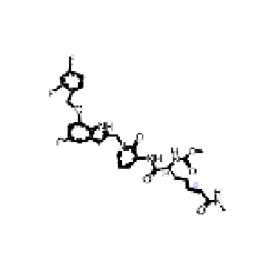 CNC(=O)/C=C/CC[C@H](NC(=O)OC)C(=O)Nc1cccn(Cc2cc3cc(F)cc(OCc4ccc(F)cc4F)c3[nH]2)c1=O